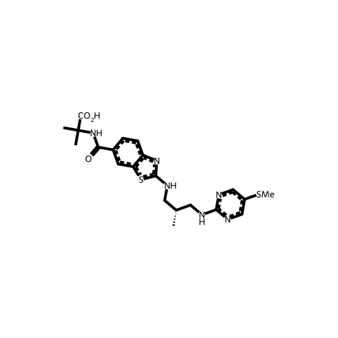 CSc1cnc(NC[C@H](C)CNc2nc3ccc(C(=O)NC(C)(C)C(=O)O)cc3s2)nc1